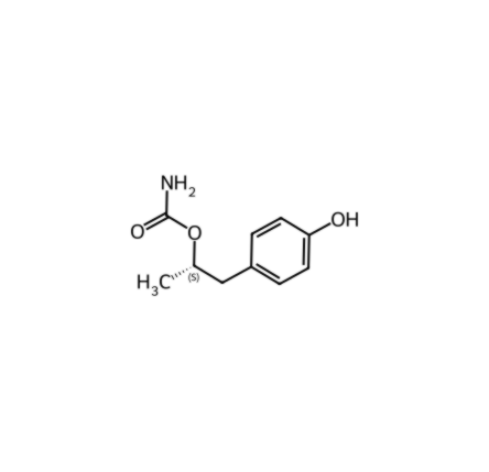 C[C@@H](Cc1ccc(O)cc1)OC(N)=O